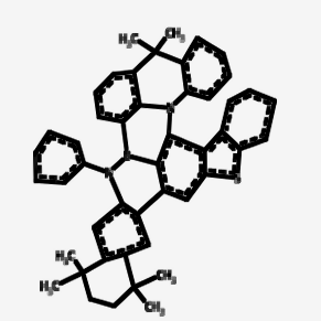 CC1(C)CCC(C)(C)c2cc3c(cc21)-c1cc2sc4ccccc4c2c2c1B(c1cccc4c1N2c1ccccc1C4(C)C)N3c1ccccc1